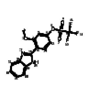 COc1cc(OS(=O)(=O)C(F)(F)F)ccc1-c1nc2ccccc2[nH]1